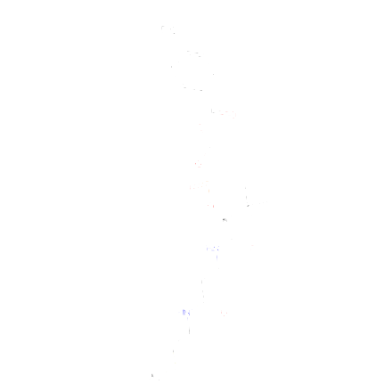 CC(=O)SCCNC(=O)CCNC(=O)[C@@H]1OP(=O)(OCOC(=O)c2ccc(C(F)(F)F)cc2)OCC1(C)C